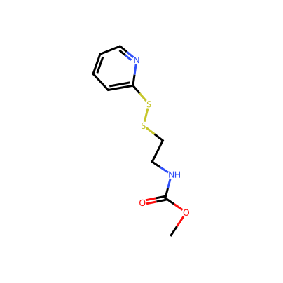 COC(=O)NCCSSc1ccccn1